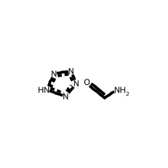 NC=O.n1nn[nH]n1